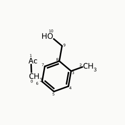 CC(C)=O.Cc1ccccc1CO